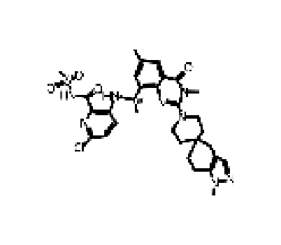 Cc1cc([C@@H](C)Nc2ccc(Cl)nc2C(=O)NS(C)(=O)=O)c2nc(N3CCC4(CCc5c(cnn5C)C4)CC3)n(C)c(=O)c2c1